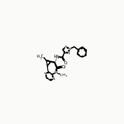 CC1C2c3nccnc3N(C)C(=O)[C@@H](NC(=O)c3cnn(Cc4ccccc4)n3)C12